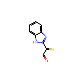 O=[C]C(=S)c1nc2ccccc2[nH]1